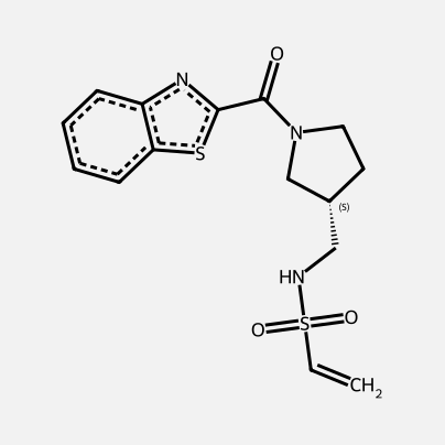 C=CS(=O)(=O)NC[C@H]1CCN(C(=O)c2nc3ccccc3s2)C1